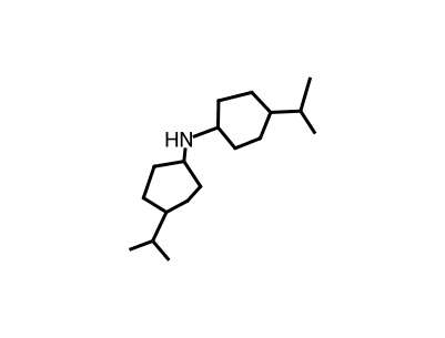 CC(C)C1CCC(NC2CCC(C(C)C)CC2)CC1